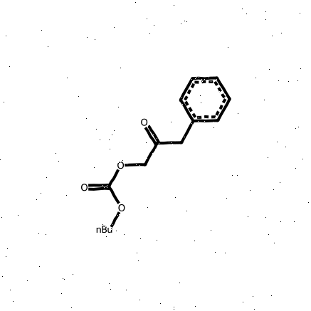 CCCCOC(=O)OCC(=O)Cc1ccccc1